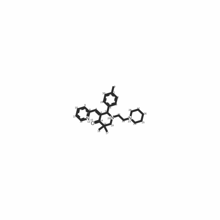 Cc1ccc(C2C(=Cc3ccccn3)C(=O)C(C)(C)CN2CCN2CCCCC2)cc1